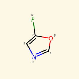 Fc1[c]nco1